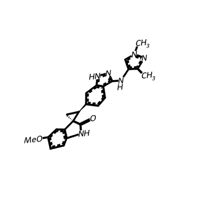 COc1ccc2c(c1)[C@]1(C[C@H]1c1ccc3c(Nc4cn(C)nc4C)n[nH]c3c1)C(=O)N2